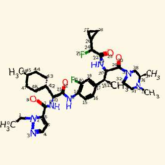 CCn1nccc1C(=O)N[C@H](C(=O)Nc1ccc([C@H](C)C(NC(=O)C(F)C2CC2)C(=O)N2CCN(C)[C@H](C)C2)cc1F)[C@H]1CC[C@H](C)CC1